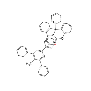 Cc1c(C2=CC=CCC2)cc(-c2cccc(C3=C(C4(c5ccccc5)c5ccccc5Oc5ccccc54)CCC=C3)c2)nc1-c1ccccc1